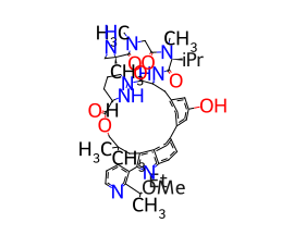 CCn1c(-c2cccnc2[C@H](C)OC)c2c3cc(ccc31)-c1cc(O)cc(c1)C[C@H](NC(=O)[C@H](C(C)C)N(C)C(=O)CN(C)C(=O)[C@]1(C)CN1)C(=O)N1CCC[C@H](N1)C(=O)OCC(C)(C)C2